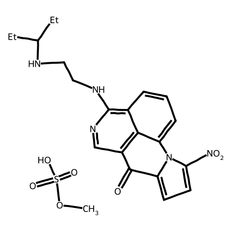 CCC(CC)NCCNc1ncc2c(=O)c3ccc([N+](=O)[O-])n3c3cccc1c23.COS(=O)(=O)O